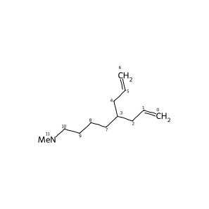 C=CCC(CC=C)CCCCNC